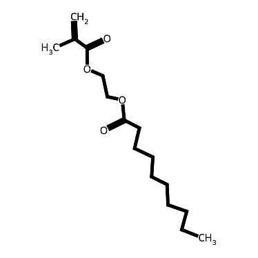 C=C(C)C(=O)OCCOC(=O)CCCCCCCCC